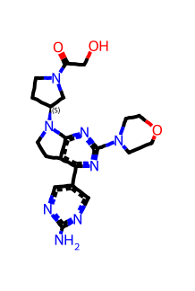 Nc1ncc(-c2nc(N3CCOCC3)nc3c2CCN3[C@H]2CCN(C(=O)CO)C2)cn1